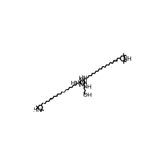 CC1(C)CC(CCCCCCCCCCCCCCCCCCNc2nc(NCCCO)nc(NCCCCCCCCCCCCCCCCCCC3CC(C)(C)NC(C)(C)C3)n2)CC(C)(C)N1